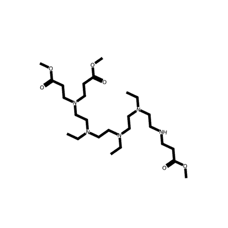 CCN(CCNCCC(=O)OC)CCN(CC)CCN(CC)CCN(CCC(=O)OC)CCC(=O)OC